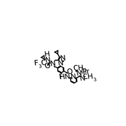 C=CN(/C(=N\C)c1cccc(NC(=O)c2cc3c(cc2F)CN(C(=O)NC2(C(F)(F)F)CC2)Cc2c(C4CC4)ncn2-3)n1)C(C)C